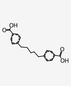 O=C(O)c1ccc(CCCCCc2ccc(C(=O)O)cc2)cc1